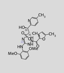 COc1cccc(OC)c1N/C(=N/S(=O)(=O)[C@@H](C)[C@@H](O)c1ccc(C)cn1)NNC(=O)c1ccc(C)o1